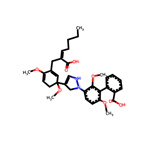 CCCCC=C(CC1=CC(OC)(C2=CNN(c3ccc(OC)c(-c4ccccc4C(=O)O)c3OC)C2)CC=C1OC)C(=O)O